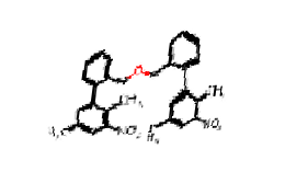 Cc1cc(-c2ccccc2COCc2ccccc2-c2cc(C)cc([N+](=O)[O-])c2C)c(C)c([N+](=O)[O-])c1